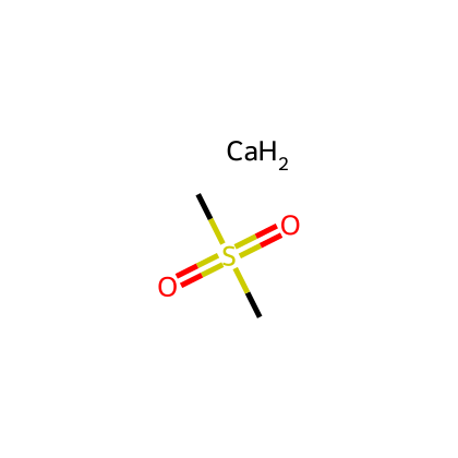 CS(C)(=O)=O.[CaH2]